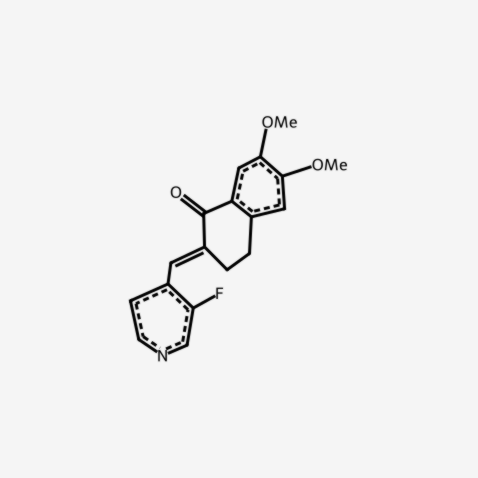 COc1cc2c(cc1OC)C(=O)C(=Cc1ccncc1F)CC2